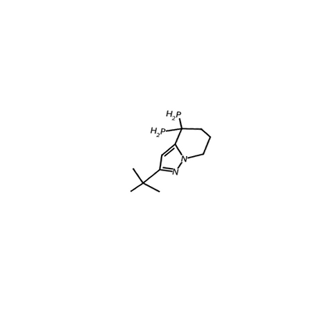 CC(C)(C)c1cc2n(n1)CCCC2(P)P